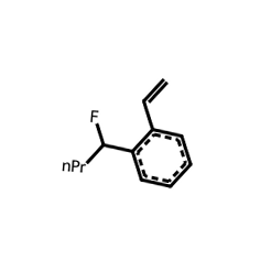 C=Cc1ccccc1C(F)CCC